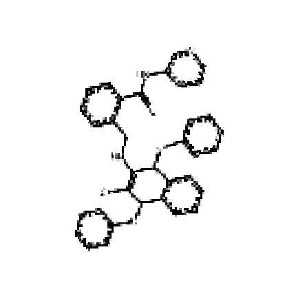 O=C(Nc1cccnc1)c1ccccc1CNC1=C(Cl)C(Oc2ccccc2)c2ccccc2C1Oc1ccccc1